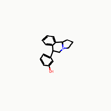 Oc1cccc(C2CN3CCCC3c3ccccc32)c1